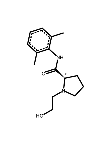 Cc1cccc(C)c1NC(=O)[C@H]1CCCN1CCO